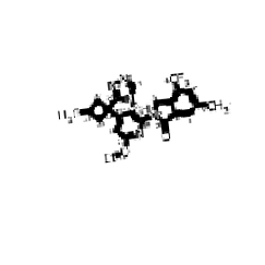 [CH2]c1cc2c(c(C(F)(F)F)c1)CN(c1cc(C3(c4nncn4C)CC(C)C3)cc(OCC)n1)C2=O